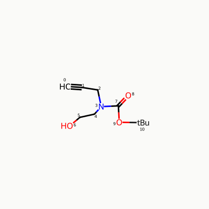 C#CCN(CCO)C(=O)OC(C)(C)C